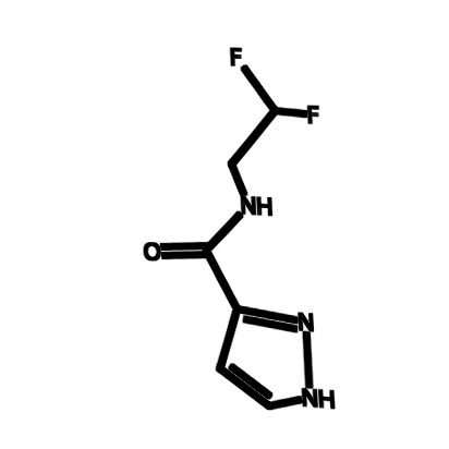 O=C(NCC(F)F)c1cc[nH]n1